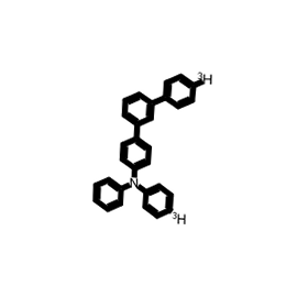 [3H]c1ccc(-c2cccc(-c3ccc(N(c4ccccc4)c4ccc([3H])cc4)cc3)c2)cc1